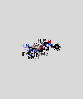 CC[C@H](C)[C@@H]([C@@H](CC(=O)N1CCC[C@H]1[C@H](OC)[C@@H](C)C(=O)NCCc1ccccc1)OC)N(C)C(=O)[C@H](CCN)NC(=O)[C@H](C(C)C)N(C)C